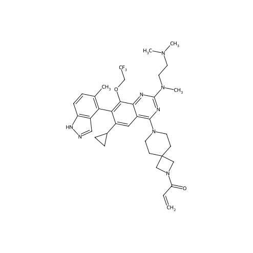 C=CC(=O)N1CC2(CCN(c3nc(N(C)CCN(C)C)nc4c(OCC(F)(F)F)c(-c5c(C)ccc6[nH]ncc56)c(C5CC5)cc34)CC2)C1